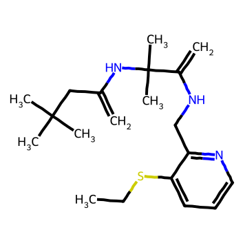 C=C(CC(C)(C)C)NC(C)(C)C(=C)NCc1ncccc1SCC